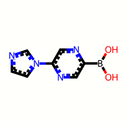 OB(O)c1cnc(-n2ccnc2)cn1